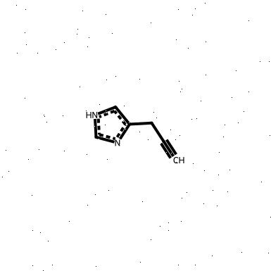 C#CCc1c[nH]cn1